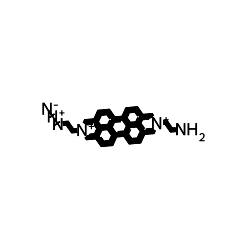 [N-]=[N+]=NCC[n+]1cc2ccc3c4ccc5c[n+](CCN)cc6ccc(c7ccc(c1)c2c37)c4c56